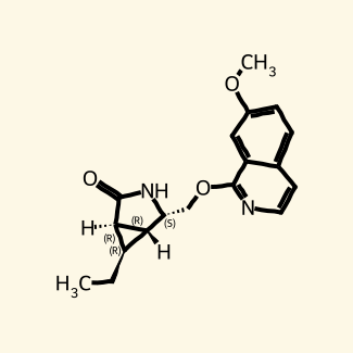 CC[C@H]1[C@H]2C(=O)N[C@H](COc3nccc4ccc(OC)cc34)[C@H]12